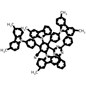 Cc1ccc2c(c1)c1cc(C)ccc1n2-c1ccc(-c2c(C#N)c(-n3c4ccccc4c4cc(C)ccc43)c(-c3nc(-c4ccccc4)nc(-c4ccccc4)n3)c(-c3ccc(-n4c5ccc(C)cc5c5cc(C)ccc54)cc3)c2-n2c3ccccc3c3cc(C)ccc32)cc1